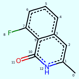 Cc1cc2cccc(F)c2c(=O)[nH]1